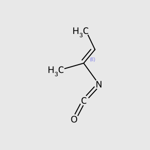 C/C=C(\C)N=C=O